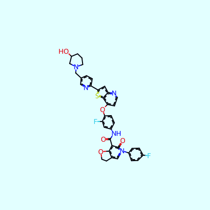 O=C(Nc1ccc(Oc2ccnc3cc(-c4ccc(CN5CCCC(O)C5)cn4)sc23)c(F)c1)c1c2c(cn(-c3ccc(F)cc3)c1=O)CCO2